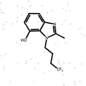 Cc1nc2cccc(O)c2n1CCCC(F)(F)F